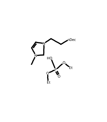 CCCCCCCCCCCCN1C=CN(C)C1.CCOP(=O)(O)OCC